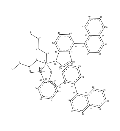 CCC[CH2][Zr]([CH2]CCC)([CH]1C=Cc2c(-c3cccc4ccccc34)cccc21)([CH]1C=Cc2c(-c3cccc4ccccc34)cccc21)[SiH](C)c1ccccc1